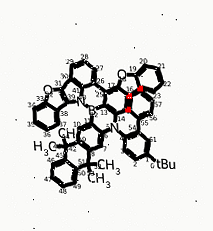 CC(C)(C)c1ccc(N2c3cc4c(cc3B3c5c2cc2c(oc6ccccc62)c5-c2cccc5c6oc7ccccc7c6n3c25)C(C)(C)c2ccccc2C4(C)C)c(-c2ccccc2)c1